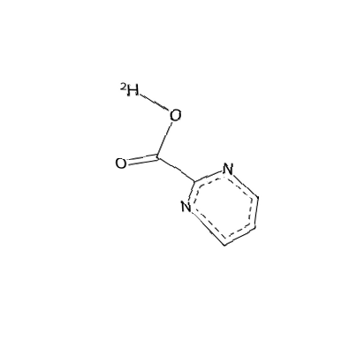 [2H]OC(=O)c1ncccn1